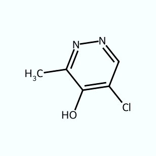 Cc1nncc(Cl)c1O